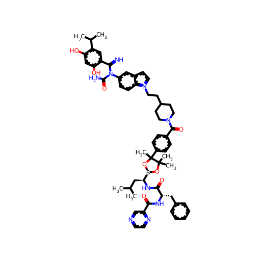 CC(C)C[C@H](NC(=O)[C@H](Cc1ccccc1)NC(=O)c1cnccn1)B1OC(C)(C)C(C)(c2ccc(C(=O)N3CCC(CCn4ccc5cc(N(C(=N)c6cc(C(C)C)c(O)cc6O)C(N)=O)ccc54)CC3)cc2)O1